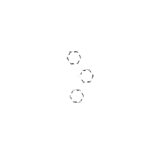 CCc1ccc(-c2cccc(C(F)(F)F)c2)nc1-c1ccc(C(F)(F)F)cc1